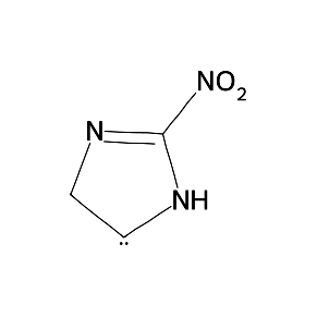 O=[N+]([O-])C1=NC[C]N1